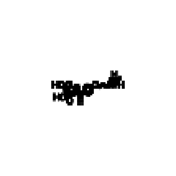 O=C(O)CC(O)(CC(=O)Nc1ccc(OCCCN2C[C@H]3C[C@H]3C2)cc1)C(=O)O